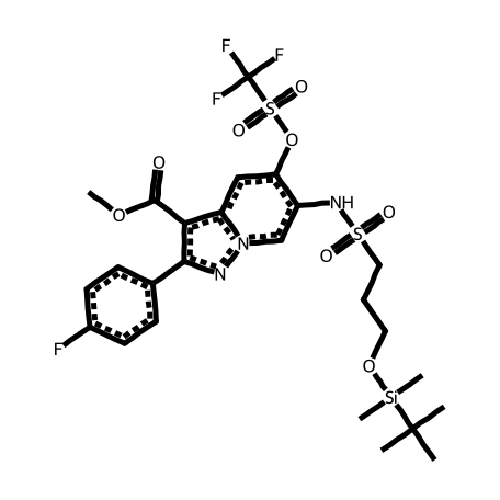 COC(=O)c1c(-c2ccc(F)cc2)nn2cc(NS(=O)(=O)CCCO[Si](C)(C)C(C)(C)C)c(OS(=O)(=O)C(F)(F)F)cc12